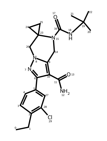 CCc1ccc(-c2nn3c(c2C(N)=O)CN(C(=O)NC(C)(C)C)C2(CC2)C3)cc1Cl